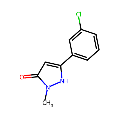 Cn1[nH]c(-c2cccc(Cl)c2)cc1=O